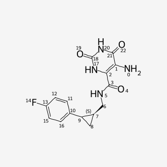 Nc1c(C(=O)NC[C@H]2CC2c2ccc(F)cc2)[nH]c(=O)[nH]c1=O